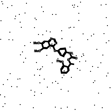 CCOc1ccccc1C(C)OC(=O)Nc1ccc(Oc2ncnc3cc(OC)c(OC)cc23)cc1